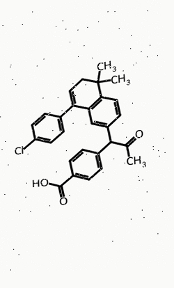 CC(=O)C(c1ccc(C(=O)O)cc1)c1ccc2c(c1)C(c1ccc(Cl)cc1)=CCC2(C)C